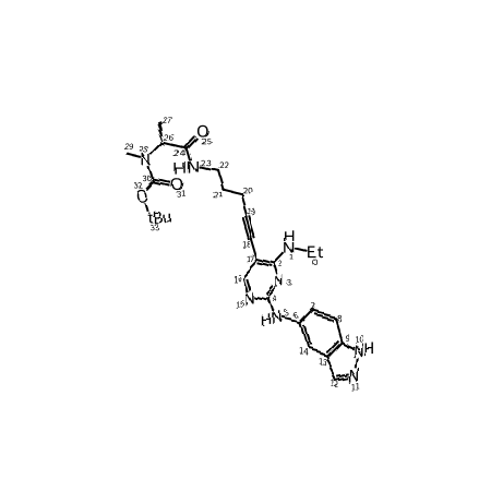 CCNc1nc(Nc2ccc3[nH]ncc3c2)ncc1C#CCCCNC(=O)[C@H](C)N(C)C(=O)OC(C)(C)C